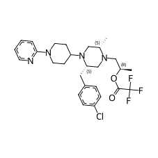 C[C@H](CN1C[C@H](Cc2ccc(Cl)cc2)N(C2CCN(c3ccccn3)CC2)C[C@@H]1C)OC(=O)C(F)(F)F